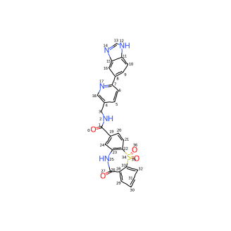 O=C(NCc1ccc(-c2ccc3[nH]cnc3c2)nc1)c1ccc2c(c1)NC(=O)c1ccccc1S2(=O)=O